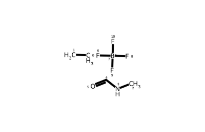 CC.CNC=O.F[B-](F)(F)F